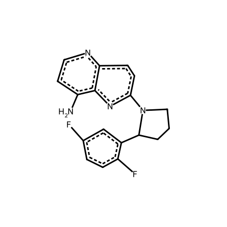 Nc1ccnc2ccc(N3CCCC3c3cc(F)ccc3F)nc12